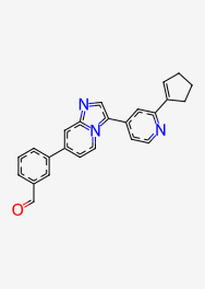 O=Cc1cccc(-c2ccn3c(-c4ccnc(C5=CCCC5)c4)cnc3c2)c1